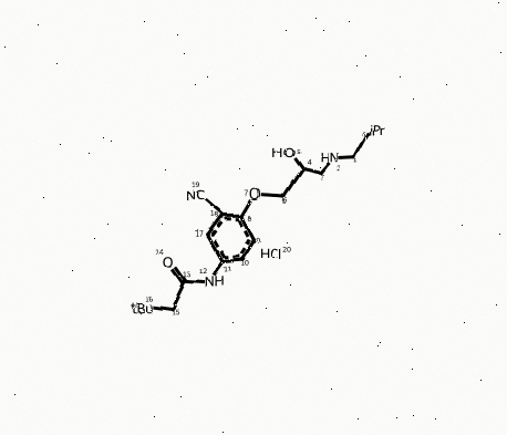 CC(C)CNCC(O)COc1ccc(NC(=O)CC(C)(C)C)cc1C#N.Cl